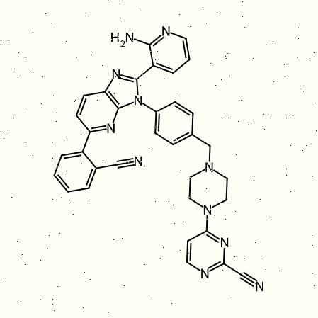 N#Cc1nccc(N2CCN(Cc3ccc(-n4c(-c5cccnc5N)nc5ccc(-c6ccccc6C#N)nc54)cc3)CC2)n1